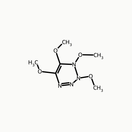 COC1=C(OC)N(OC)N(OC)N=N1